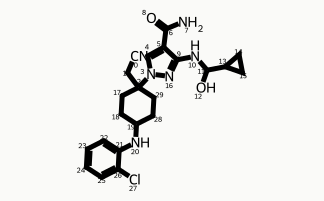 N#CCC1(n2cc(C(N)=O)c(NC(O)C3CC3)n2)CCC(Nc2ccccc2Cl)CC1